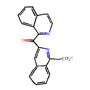 O=C(O)c1nc(C(=O)c2nccc3ccccc23)cc2ccccc12